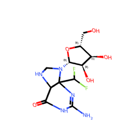 NC1=NC2(C(F)F)C(NCN2[C@@H]2O[C@H](CO)[C@@H](O)[C@H]2O)C(=O)N1